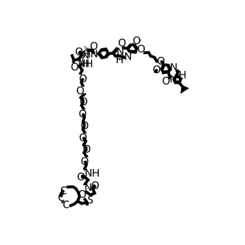 COc1cc2c(cc1OCCCCCOc1cc3c(cc1OC)C(=O)N1C=C(C4CC4)C[C@@H]1C=N3)N=C[C@H]1CC(c3ccc(NC(=O)[C@@H](C)NC(=O)[C@H](NC(=O)CCOCCOCCOCCOCCOCCOCCOCCOCCNC(=O)CCN4C(=O)CC(SC(C)(C)CC5CCCCCCCCCCCC5)C4=O)C(C)C)cc3)=CN1C2=O